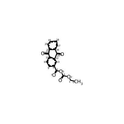 CCOC(=O)OC(=O)c1ccc2c(c1)C(=O)c1ccccc1C2=O